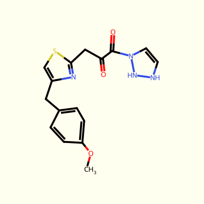 COc1ccc(Cc2csc(CC(=O)C(=O)N3C=CNN3)n2)cc1